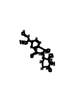 O=CC(O)c1ccc2c(c1)C(=O)N(C1CCC(=O)NC1=O)C2=O